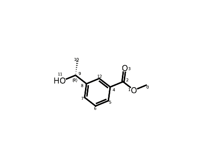 COC(=O)c1cccc([C@@H](C)O)c1